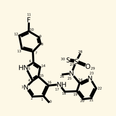 Cc1cnc2[nH]c(-c3ccc(F)cc3)cc2c1NCc1cccnc1N(C)S(C)(=O)=S